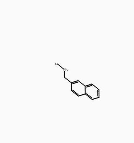 ClNCc1ccc2ccccc2c1